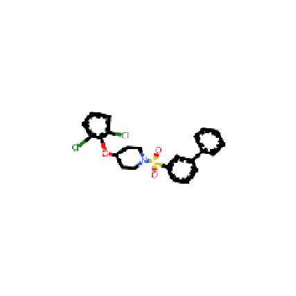 O=S(=O)(c1cccc(-c2ccccc2)c1)N1CCC(Oc2c(Cl)cccc2Cl)CC1